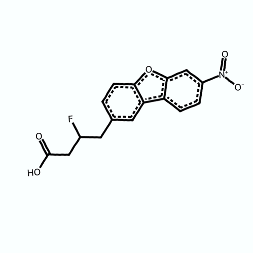 O=C(O)CC(F)Cc1ccc2oc3cc([N+](=O)[O-])ccc3c2c1